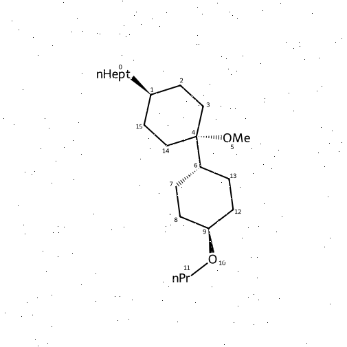 CCCCCCC[C@H]1CC[C@@](OC)([C@H]2CC[C@H](OCCC)CC2)CC1